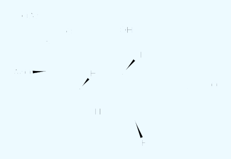 CC(=O)OCC(=O)[C@@]1(OC(C)=O)CC[C@H]2[C@@H]3C[C@H](F)C4=CC(=O)C=C[C@]4(C)[C@H]3[C@@H](O)C[C@@]21C